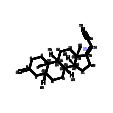 C[C@]12CCC(=O)C[C@H]1CC[C@@H]1[C@@H]2CC[C@]2(C)/C(=C\C#N)CC[C@@H]12